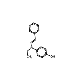 CCN(C=Cc1ccccc1)c1ccc(O)cc1